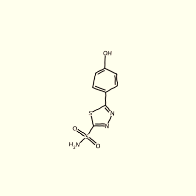 NS(=O)(=O)c1nnc(-c2ccc(O)cc2)s1